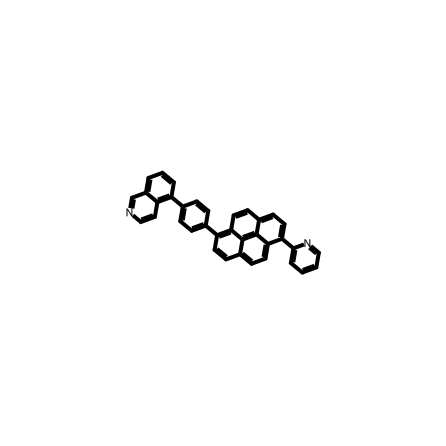 c1ccc(-c2ccc3ccc4c(-c5ccc(-c6cccc7cnccc67)cc5)ccc5ccc2c3c54)nc1